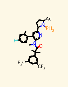 CC(=O)C1CCC(c2cc(-c3ccc(F)cc3C)c(N(C)C(=O)C(C)(C)c3cc(C(F)(F)F)cc(C(F)(F)F)c3)cn2)N1P